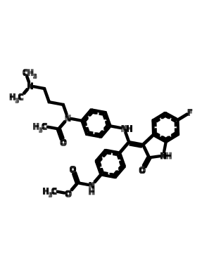 COC(=O)Nc1ccc(C(Nc2ccc(N(CCCN(C)C)C(C)=O)cc2)=C2C(=O)Nc3cc(F)ccc32)cc1